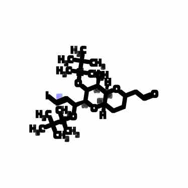 CC(C)(C)[Si](C)(C)OC(/C=C/I)[C@@H]1O[C@H]2CCC(CC=O)O[C@@H]2[C@H](O)C1O[Si](C)(C)C(C)(C)C